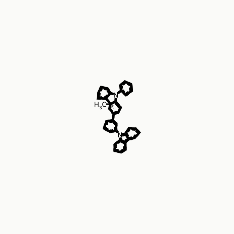 C[C@]12CC(c3cccc(-n4c5ccccc5c5ccccc54)c3)=CC=C1N(c1ccccc1)c1ccccc12